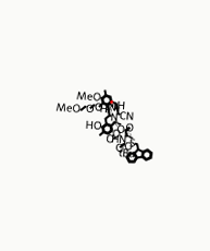 COCCOCOc1c(OC)c(C)cc2c1[C@@H]1C3Cc4c(O)c(C)c5c(c4[C@H](COC(=O)[C@@H](CSCC4c6ccccc6-c6ccccc64)NC(=O)OC(C)(C)C)N3C(C#N)[C@H](C2)N1C)OCO5